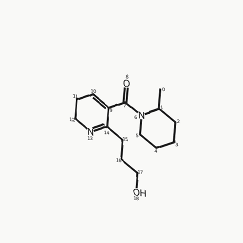 CC1CCCCN1C(=O)C1=CCCN=C1CCCO